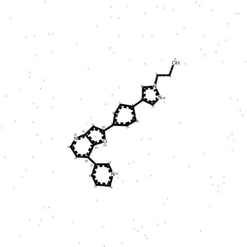 OCCn1cc(-c2ccc(-c3cc4nccc(-c5cccnc5)c4o3)cc2)cn1